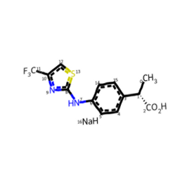 C[C@H](C(=O)O)c1ccc(Nc2nc(C(F)(F)F)cs2)cc1.[NaH]